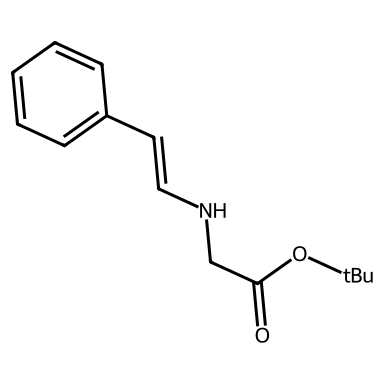 CC(C)(C)OC(=O)CNC=Cc1ccccc1